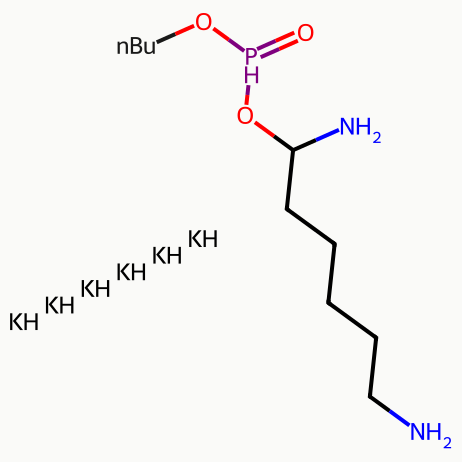 CCCCO[PH](=O)OC(N)CCCCCN.[KH].[KH].[KH].[KH].[KH].[KH]